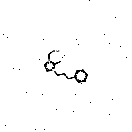 CCCCCCCCCCn1cc[n+](CCCc2ccccc2)c1C